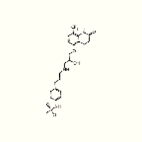 CS(=O)(=O)Nc1ccc(CCCNCC(O)COc2ccc(C(F)(F)F)c3c2CCC(=O)N3)cc1